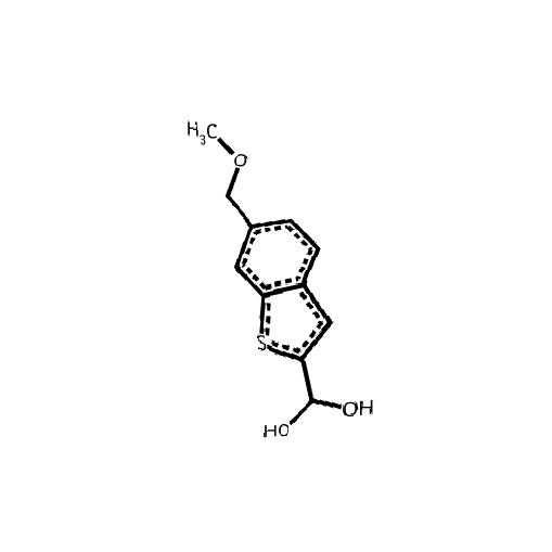 COCc1ccc2cc(C(O)O)sc2c1